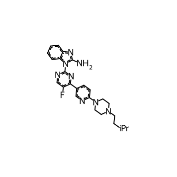 CC(C)CCN1CCN(c2ccc(-c3nc(-n4c(N)nc5ccccc54)ncc3F)cn2)CC1